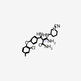 Cc1ccc(Oc2ccc(C(=N)/C(C(N)=O)=C(/N)NC3CCCN(C#N)C3)cc2)c(Cl)c1